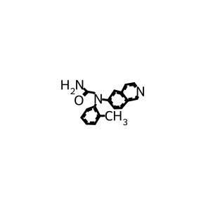 Cc1ccccc1N(CC(N)=O)c1ccc2cnccc2c1